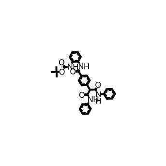 CC(C)(C)OC(=O)Nc1ccccc1NC(=O)c1ccc(C(C(=O)Nc2ccccc2)C(=O)Nc2ccccc2)cc1